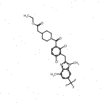 CCOC(=O)CC1CCN(C(=O)c2ccc(Cl)c(Cc3nc4c(C)cc(C(F)(F)F)cc4n3C)c2Cl)CC1